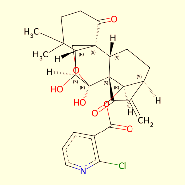 C=C1C(=O)[C@]23[C@H](OC(=O)c4cccnc4Cl)[C@H]1CC[C@H]2[C@@]12CO[C@@]3(O)[C@@H](O)[C@@H]1C(C)(C)CCC2=O